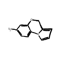 O=[N+]([O-])c1ccc2c(c1)OCc1cccn1-2